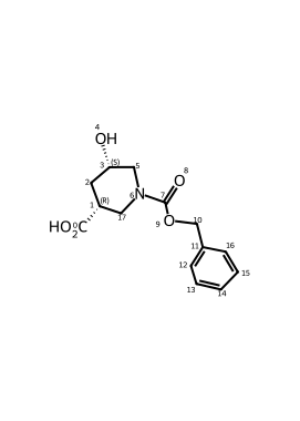 O=C(O)[C@@H]1C[C@H](O)CN(C(=O)OCc2ccccc2)C1